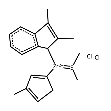 CC1=CC[C]([Zr+2]([CH]2C(C)=C(C)c3ccccc32)=[Si](C)C)=C1.[Cl-].[Cl-]